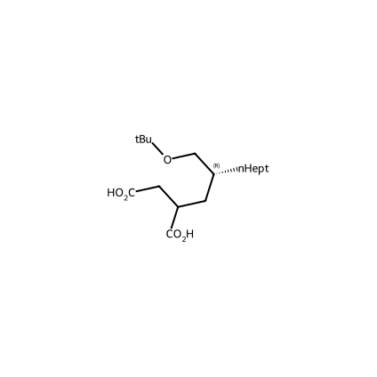 CCCCCCC[C@@H](COC(C)(C)C)CC(CC(=O)O)C(=O)O